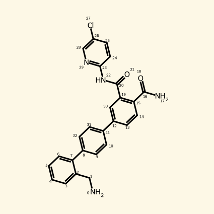 NCc1ccccc1-c1ccc(-c2ccc(C(N)=O)c(C(=O)Nc3ccc(Cl)cn3)c2)cc1